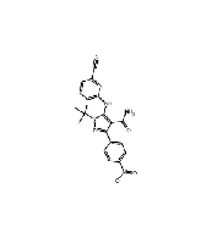 CC(C)(C)n1nc(-c2ccc([N+](=O)[O-])cc2)c(C(N)=O)c1Nc1cccc(C#N)n1